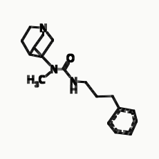 CN(C(=O)NCCCc1ccccc1)C1CN2CCC1CC2